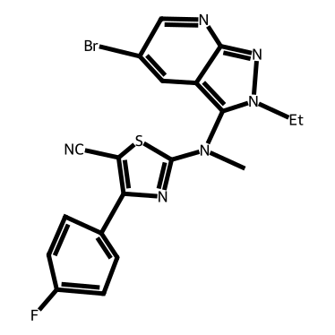 CCn1nc2ncc(Br)cc2c1N(C)c1nc(-c2ccc(F)cc2)c(C#N)s1